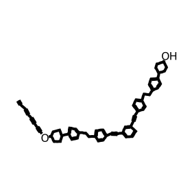 C#CC#CC#CC#COC1CCC(c2ccc(CCc3ccc(C#Cc4cccc(C#Cc5ccc(CCc6ccc(C7CCC(O)CC7)cc6)cc5)c4)cc3)cc2)CC1